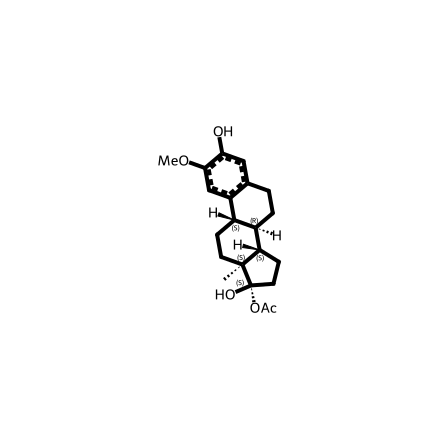 COc1cc2c(cc1O)CC[C@@H]1[C@@H]2CC[C@@]2(C)[C@H]1CC[C@]2(O)OC(C)=O